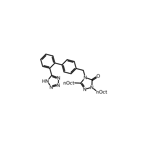 CCCCCCCCc1nn(CCCCCCCC)c(=O)n1Cc1ccc(-c2ccccc2-c2nnn[nH]2)cc1